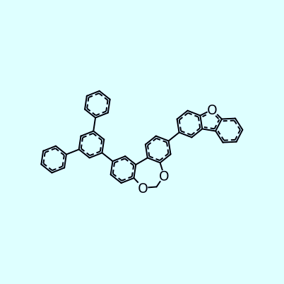 c1ccc(-c2cc(-c3ccccc3)cc(-c3ccc4c(c3)-c3ccc(-c5ccc6oc7ccccc7c6c5)cc3OCO4)c2)cc1